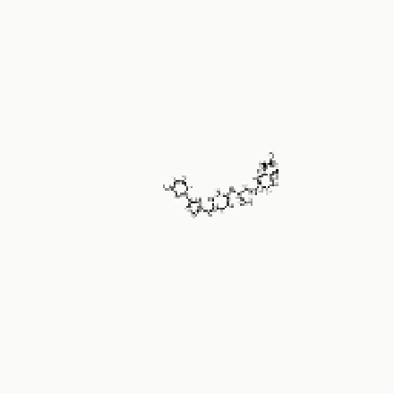 Cc1cccc(-c2nc(CN3CCN(CC(O)COc4ccc5sc(C)nc5c4)CC3)no2)c1